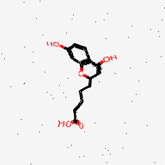 O=C(O)CCCCC1CC(O)c2ccc(O)cc2O1